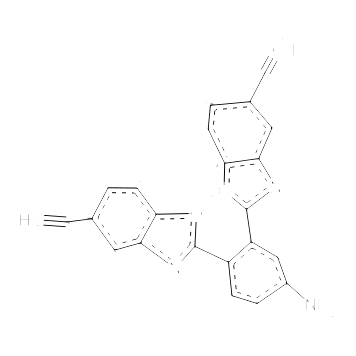 C#Cc1ccc2oc(-c3ccc(N)cc3-c3nc4cc(C#C)ccc4o3)nc2c1